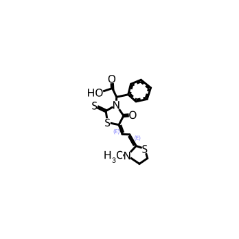 CN1CCS/C1=C/C=C1/SC(=S)N(C(C(=O)O)c2ccccc2)C1=O